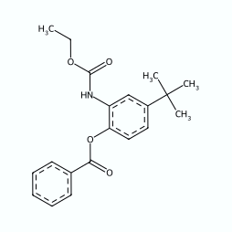 CCOC(=O)Nc1cc(C(C)(C)C)ccc1OC(=O)c1ccccc1